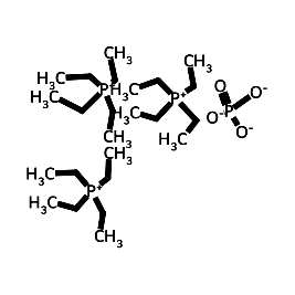 CC[P+](CC)(CC)CC.CC[P+](CC)(CC)CC.CC[P+](CC)(CC)CC.O=P([O-])([O-])[O-]